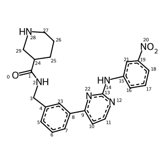 O=C(NCc1cccc(-c2ccnc(Nc3cccc([N+](=O)[O-])c3)n2)c1)C1CCCNC1